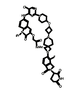 CNC(=O)COc1cc2cc(Nc3nc(N4CCC(O[C@H]5C[C@H](N6CCC7(CC6)CN(c6ccc8c(c6F)CN(C6CCC(=O)NC6=O)C8=O)C7)C5)CC4)ncc3Cl)ccc2n(C(C)C)c1=O